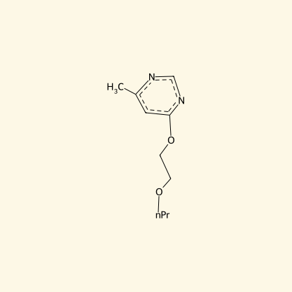 CCCOCCOc1cc(C)ncn1